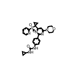 O=C(Nc1ccc(-c2nc(N3CCOCC3)cc(C3(S(=O)(=O)c4ccccn4)CC3)n2)cc1)NC1CC1